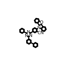 N#Cc1cc(-c2nc(-c3ccccc3)nc(-c3cccc(-c4ccccc4)c3)n2)ccc1N1c2ccccc2C2Oc3ccccc3C21